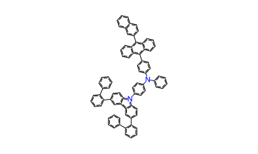 c1ccc(-c2ccccc2-c2ccc3c(c2)c2cc(-c4ccccc4-c4ccccc4)ccc2n3-c2ccc(N(c3ccccc3)c3ccc(-c4c5ccccc5c(-c5ccc6ccccc6c5)c5ccccc45)cc3)cc2)cc1